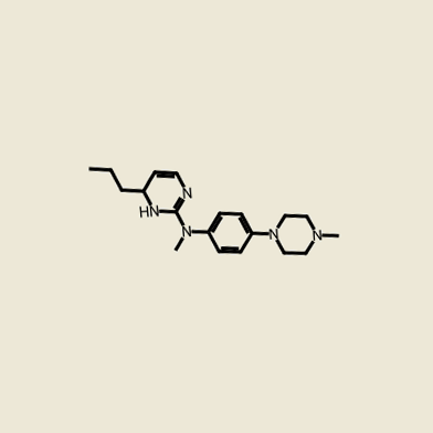 CCCC1C=CN=C(N(C)c2ccc(N3CCN(C)CC3)cc2)N1